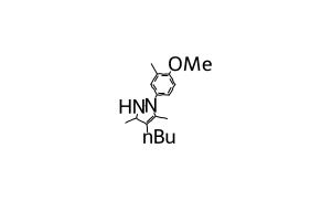 CCCCC1=C(C)N(c2ccc(OC)c(C)c2)NC1C